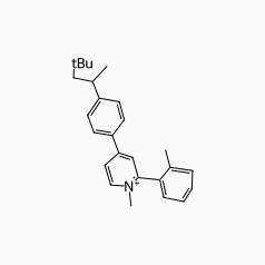 Cc1ccccc1-c1cc(-c2ccc(C(C)CC(C)(C)C)cc2)cc[n+]1C